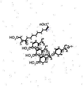 CCCCCCCC/C=C\CCCCCCCC(=O)N(C)CC(=O)O.CN(C)C1=[C-]CC(C(=O)O)C=C1.CN(C)C1=[C-]CC(C(=O)O)C=C1.CN(C)C1=[C-]CC(C(=O)O)C=C1.CN(C)C1=[C-]CC(C(=O)O)C=C1.[Zr+4]